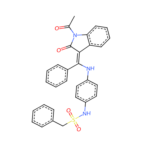 CC(=O)N1C(=O)C(=C(Nc2ccc(NS(=O)(=O)Cc3ccccc3)cc2)c2ccccc2)c2ccccc21